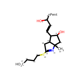 CCCCCC(O)C=CC1C(O)CC2(C)N=C(SCCCC(=O)O)CC12